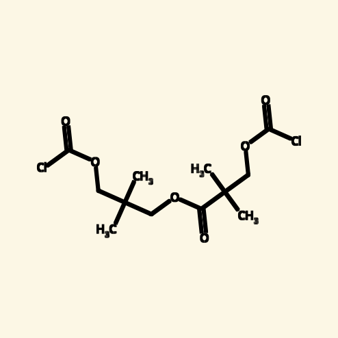 CC(C)(COC(=O)Cl)COC(=O)C(C)(C)COC(=O)Cl